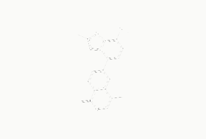 Cc1cn2c(-c3ccc4c(=O)[nH]cc(Cl)c4c3)ccc(N)c2n1